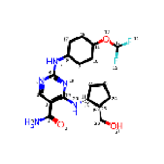 NC(=O)c1cnc(NC2CCC(OC(F)F)CC2)nc1N[C@@H]1CCC[C@H]1CO